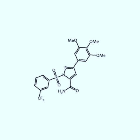 COc1cc(-c2cc(C(N)=O)n(S(=O)(=O)c3cccc(C(F)(F)F)c3)n2)cc(OC)c1OC